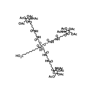 CC(=O)N[C@H]1C(OC(C)=O)[C@H](OC(C)=O)C(COC(C)=O)O[C@H]1OCCCCC(=O)NCCCNC(=O)CCOCC(COCCC(=O)NCCCNC(=O)CCCCO[C@@H]1OC(COC(C)=O)[C@@H](OC(C)=O)C(OC(C)=O)[C@@H]1NC(C)=O)(COCCC(=O)NCCCNC(=O)CCCCO[C@@H]1OC(COC(C)=O)[C@@H](OC(C)=O)C(OC(C)=O)[C@@H]1NC(C)=O)NC(=O)CCCCCCCCCCC(=O)O